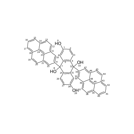 Oc1ccc2c(c1)C(O)(c1cc3ccc4cccc5ccc(c1)c3c45)c1ccc(O)cc1C2(O)c1cc2ccc3cccc4ccc(c1)c2c34